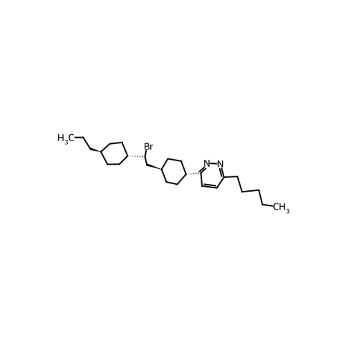 CCCCCc1ccc([C@H]2CC[C@H](CC(Br)[C@H]3CC[C@H](CCC)CC3)CC2)nn1